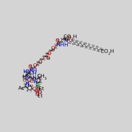 CCOP(=O)(COc1ccc2c(C(C)=O)cn(CC(=O)N3[C@H](C(=O)Nc4nc(Br)ccc4C)C[C@]4(NNC(=O)COCCOCCCC(=O)COCCOCCNC(=O)CC[C@H](NC(=O)CCCCCCCCCCCCCCCCC(=O)O)C(=O)O)C[C@@H]34)c2c1)OCC